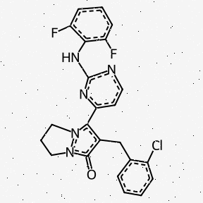 O=c1c(Cc2ccccc2Cl)c(-c2ccnc(Nc3c(F)cccc3F)n2)n2n1CCC2